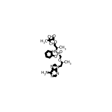 C[C@H](Cn1cnc2c(N)ncnc21)OCP(=O)(N[C@@H](C)COC(=O)C(C)(C)C)Oc1ccccc1